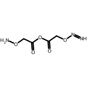 N=NOCC(=O)OC(=O)CON